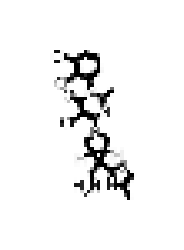 Cc1csc(C2(CN)[C@@H]3CN(c4nc(C)n(-c5cccc(Cl)c5Cl)c(=O)c4Cl)C[C@@H]32)n1